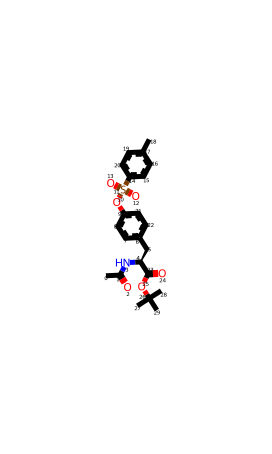 CC(=O)N[C@@H](Cc1ccc(OS(=O)(=O)c2ccc(C)cc2)cc1)C(=O)OC(C)(C)C